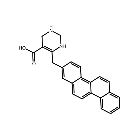 O=C(O)C1=C(Cc2ccc3c(ccc4c5ccccc5ccc34)c2)NCNC1